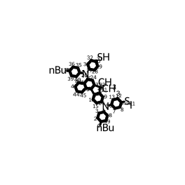 CCCCc1ccc(N(c2ccc(SI)cc2)c2ccc3c(c2)C(C)(C)c2cc(N(c4ccc(S)cc4)c4ccc(CCCC)cc4)c4ccccc4c2-3)cc1